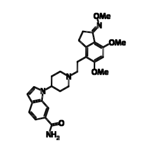 CON=C1CCc2c(CCN3CCC(n4ccc5ccc(C(N)=O)cc54)CC3)c(OC)cc(OC)c21